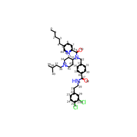 CCCCCc1ccc(C(=O)N(Cc2ccc(C(=O)NCCc3ccc(Cl)c(Cl)c3)cc2)C2CCN(CCC(C)C)CC2)nc1